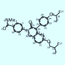 CNC(=O)c1ccc(-n2nc3ccc(OCC(F)F)nc3c(-c3ccc(OC(F)F)cc3)c2=O)cc1